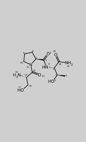 C[C@@H](O)[C@H](NC(=O)[C@@H]1CCCN1C(=O)[C@@H](N)CO)C(N)=O